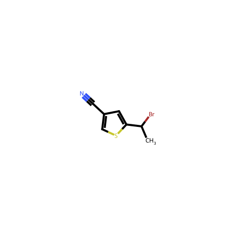 CC(Br)c1cc(C#N)cs1